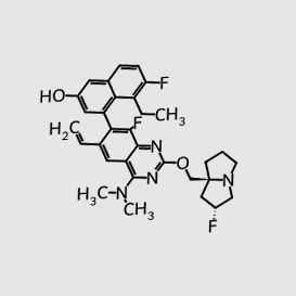 C=Cc1cc2c(N(C)C)nc(OC[C@@]34CCCN3C[C@H](F)C4)nc2c(F)c1-c1cc(O)cc2ccc(F)c(CC)c12